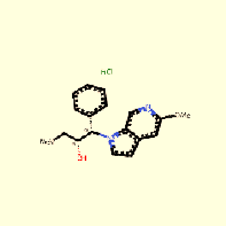 CNC[C@@H](O)[C@H](c1ccccc1)n1ccc2cc(OC)ncc21.Cl